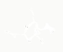 O=Cc1c(Cl)nc(SO)nc1CI